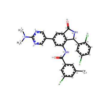 CN(C)c1ncc(-c2cc(NC(=O)c3cc(F)cc(C(F)(F)F)c3)c3c(c2)C(=O)NC3c2cc(F)ccc2Cl)cn1